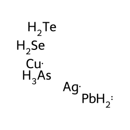 [Ag].[AsH3].[Cu].[PbH2].[SeH2].[TeH2]